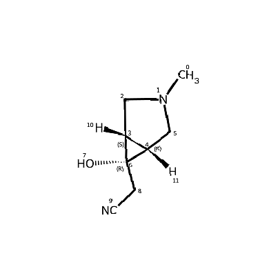 CN1C[C@@H]2[C@H](C1)[C@@]2(O)CC#N